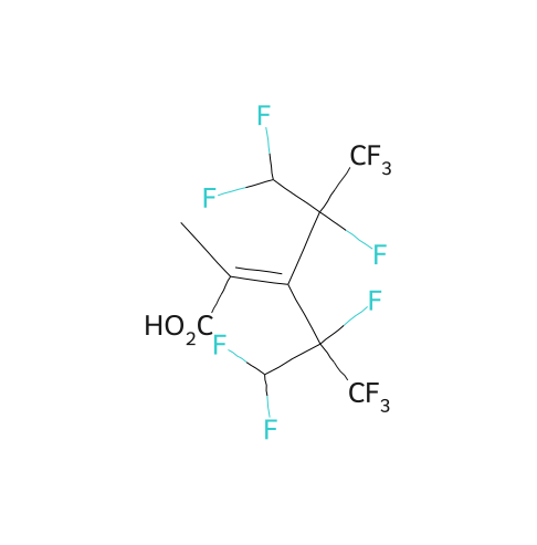 CC(C(=O)O)=C(C(F)(C(F)F)C(F)(F)F)C(F)(C(F)F)C(F)(F)F